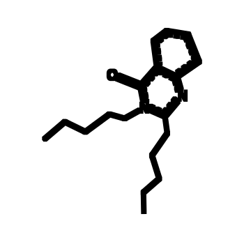 CCCCCc1nc2ccccc2c(=O)n1CCCCC